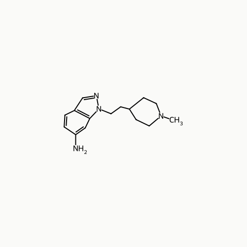 CN1CCC(CCn2ncc3ccc(N)cc32)CC1